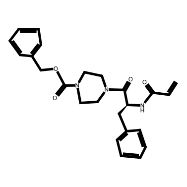 C=CC(=O)N[C@@H](Cc1ccccc1)C(=O)N1CCN(C(=O)OCc2ccccc2)CC1